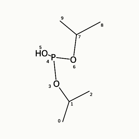 CC(C)OP(O)OC(C)C